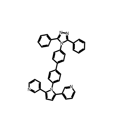 c1ccc(-c2nnc(-c3ccccc3)n2-c2ccc(-c3ccc(-n4c(-c5cccnc5)ccc4-c4cccnc4)cc3)cc2)cc1